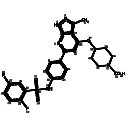 Cc1n[nH]c2nc(-c3ccc(NS(=O)(=O)c4cc(F)ccc4F)cc3)nc(OC3CCN(C(=O)O)CC3)c12